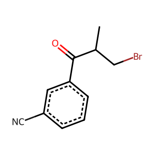 CC(CBr)C(=O)c1cccc(C#N)c1